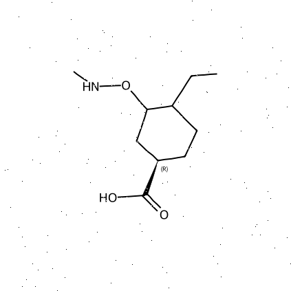 CCC1CC[C@@H](C(=O)O)CC1ONC